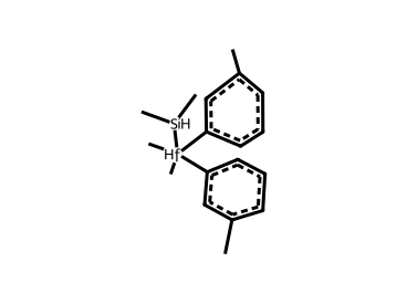 Cc1ccc[c]([Hf]([CH3])([CH3])([c]2cccc(C)c2)[SiH](C)C)c1